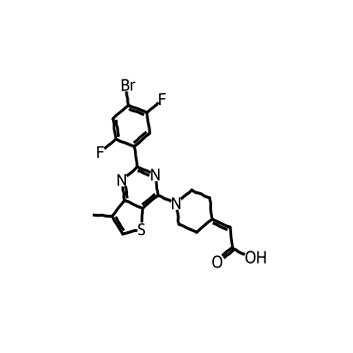 Cc1csc2c(N3CCC(=CC(=O)O)CC3)nc(-c3cc(F)c(Br)cc3F)nc12